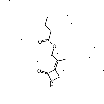 CCCC(=O)OCC(C)=C1CNC1=O